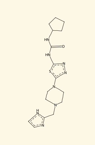 O=C(Nc1nnc(N2CCN(Cc3ncc[nH]3)CC2)s1)NC1CCCC1